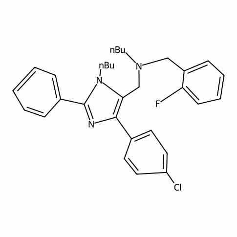 CCCCN(Cc1ccccc1F)Cc1c(-c2ccc(Cl)cc2)nc(-c2ccccc2)n1CCCC